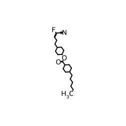 CCCCCCC1CCC(C(=O)OC2CCC(CC/C=C(/F)C#N)CC2)CC1